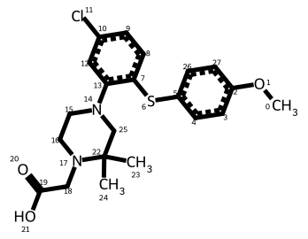 COc1ccc(Sc2ccc(Cl)cc2N2CCN(CC(=O)O)C(C)(C)C2)cc1